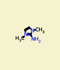 Cn1cc[n+](C)c1N